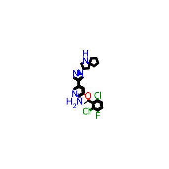 C[C@@H](Oc1cc(-c2cnn(C3CNC4(CCCC4)C3)c2)cnc1N)c1c(Cl)ccc(F)c1Cl